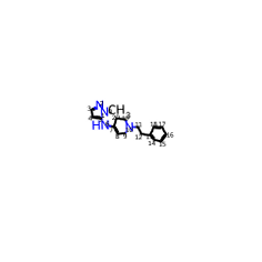 Cn1nccc1NC1=CCN(CCc2ccccc2)CC1